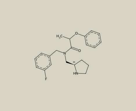 CC(Oc1ccccc1)C(=O)N(Cc1cccc(F)c1)C[C@H]1CCCN1